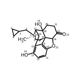 C[N@@+]1(CC2CC2)CC[C@@]23c4c5ccc(O)c4CC1C2(O)CCC(=O)C3O5